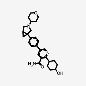 NC(=O)c1cc(-c2ccc(C34CC3CN(C3CCOCC3)C4)cc2)cnc1C1CCC(O)CC1